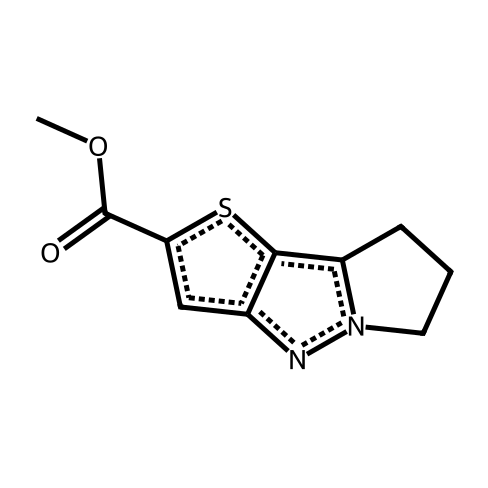 COC(=O)c1cc2nn3c(c2s1)CCC3